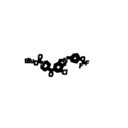 CC(C)(C)OC(=O)N1CCC(C(=O)c2cc(Cl)c3c(c2)CN(Cc2ccc(OC(F)F)cc2)C3)CC1